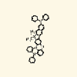 CC1(C)c2cc3c(cc2-c2cc4ccc(N(c5ccccc5)c5ccccc5)cc4cc21)Oc1cccc2c1B3c1ccccc1N2c1ccccc1